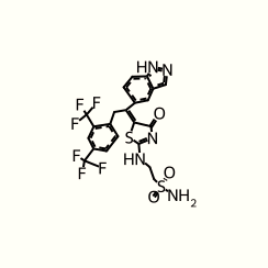 NS(=O)(=O)CCNC1=NC(=O)C(=C(Cc2ccc(C(F)(F)F)cc2C(F)(F)F)c2ccc3[nH]ncc3c2)S1